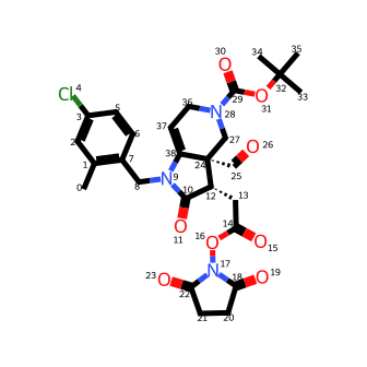 Cc1cc(Cl)ccc1CN1C(=O)[C@@H](CC(=O)ON2C(=O)CCC2=O)[C@]2(C=O)CN(C(=O)OC(C)(C)C)CC=C12